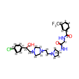 O=C(CNC(=O)c1cccc(C(F)(F)F)c1)N[C@@H]1CCN(CCN2CCN(CC(O)c3ccc(Cl)cc3)CC2)C1